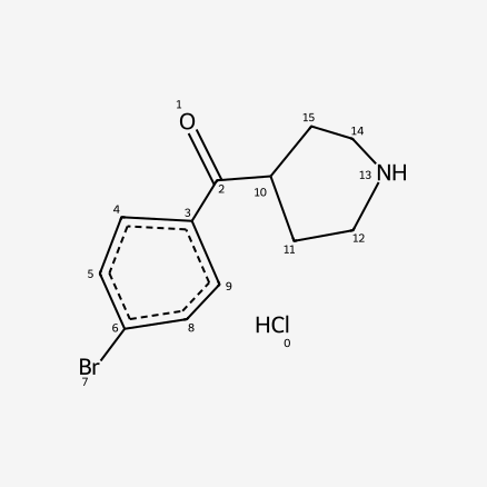 Cl.O=C(c1ccc(Br)cc1)C1CCNCC1